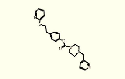 O=C(Oc1ccc(CCSc2ccccn2)cc1)N1CCN(Cc2cccnc2)CC1